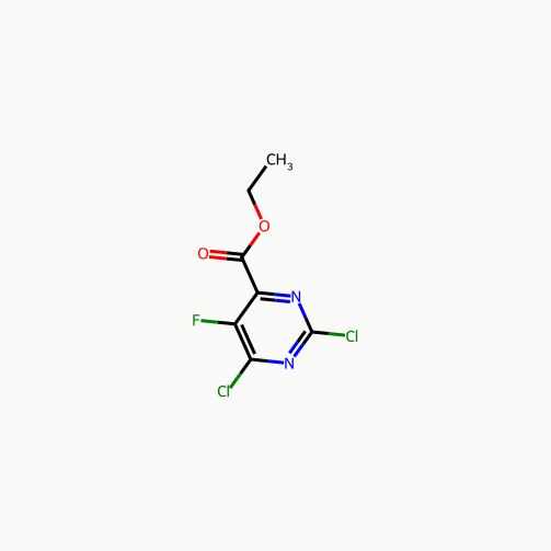 CCOC(=O)c1nc(Cl)nc(Cl)c1F